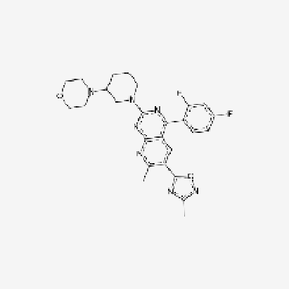 Cc1noc(-c2cc3c(-c4ccc(F)cc4F)nc(N4CCCC(N5CCOCC5)C4)nc3nc2C)n1